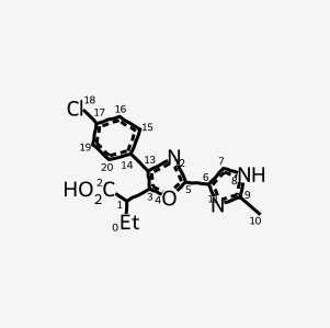 CCC(C(=O)O)c1oc(-c2c[nH]c(C)n2)nc1-c1ccc(Cl)cc1